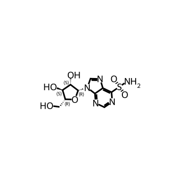 NS(=O)(=O)c1ncnc2c1ncn2[C@@H]1O[C@H](CO)[C@@H](O)[C@@H]1O